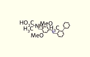 COc1cc(/C=C/c2cccc(-c3ccccc3)c2C)cc(OC)c1CNC(C)C(=O)O